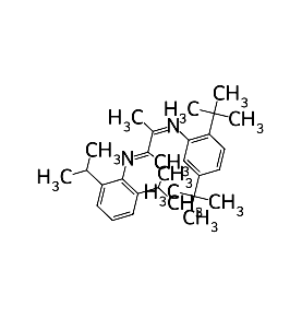 CC(=Nc1cc(C(C)(C)C)ccc1C(C)(C)C)C(C)=Nc1c(C(C)C)cccc1C(C)C